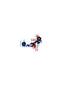 COc1ccc2ncc(CF)c([C@@H](O)CCC3(CC(=O)O)CCN(CCNc4cc(F)c(F)c(F)c4)CC3)c2c1